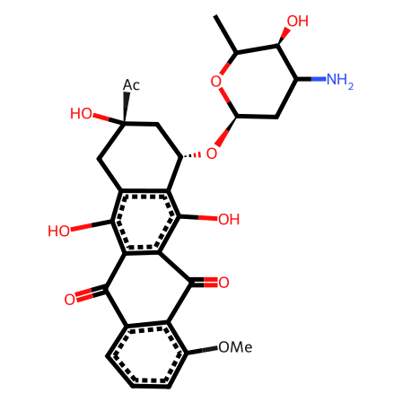 COc1cccc2c1C(=O)c1c(O)c3c(c(O)c1C2=O)C[C@@](O)(C(C)=O)C[C@@H]3O[C@@H]1CC(N)[C@H](O)C(C)O1